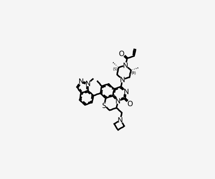 C=CC(=O)N1[C@H](C)CN(c2nc(=O)n3c4c(c(-c5cccc6cnn(C)c56)c(C)cc24)SCC3CN2CCC2)C[C@@H]1C